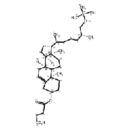 C[C@H](CCC[C@H](C)[C@H]1CC[C@@H]2[C@@H]3CC=C4C[C@@H](OC(=O)CCC(=O)O)CC[C@]4(C)C3CC[C@@]21C)CO[Si](C)(C)C(C)(C)C